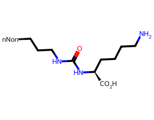 CCCCCCCCCCCCNC(=O)N[C@@H](CCCCN)C(=O)O